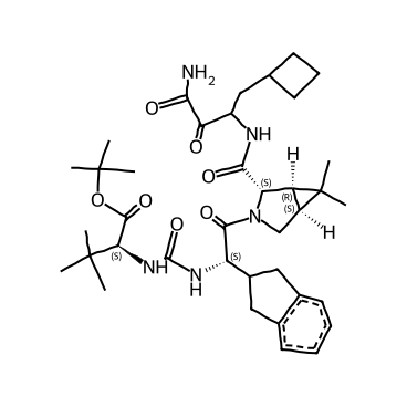 CC(C)(C)OC(=O)[C@@H](NC(=O)N[C@H](C(=O)N1C[C@H]2[C@@H]([C@H]1C(=O)NC(CC1CCC1)C(=O)C(N)=O)C2(C)C)C1Cc2ccccc2C1)C(C)(C)C